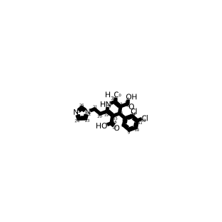 CC1=C(C(=O)O)C(c2cccc(Cl)c2Cl)C(C(=O)O)=C(CCn2ccnc2)N1